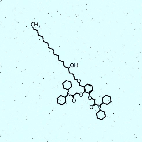 CCCCCCCCCCCCCCC(O)CCCOCc1cccc(OCC(=O)N(C2CCCCC2)C2CCCCC2)c1OCC(=O)N(C1CCCCC1)C1CCCCC1